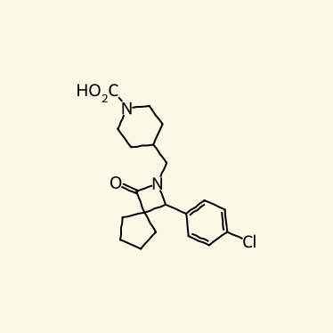 O=C(O)N1CCC(CN2C(=O)C3(CCCC3)C2c2ccc(Cl)cc2)CC1